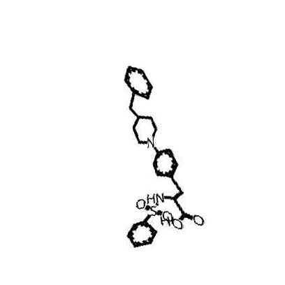 O=C(O)C(Cc1ccc(N2CCC(Cc3ccccc3)CC2)cc1)NS(=O)(=O)c1ccccc1